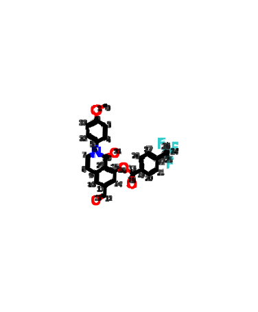 COc1ccc(-n2ccc3cc(C=O)cc(OC(=O)c4ccc(C(F)(F)F)cc4)c3c2=O)cc1